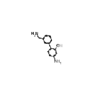 NCc1cccc(-c2ccc(N)cc2O)c1